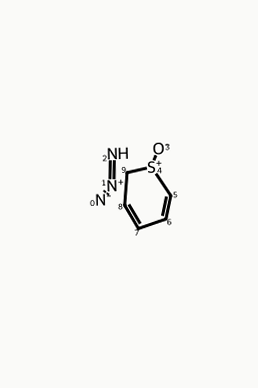 [N-]=[N+]=N.[O-][S+]1C=CC=CC1